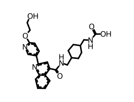 O=C(O)NCC1CCC(CNC(=O)c2cc(-c3ccc(OCCO)nc3)nc3ccccc23)CC1